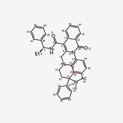 CC[C@H](NC(=O)c1c(CN2CCC(c3ccccc3)(N(C)C(C)=O)CC2)n(-c2ccccc2)c(=O)c2ccccc12)c1ccccc1